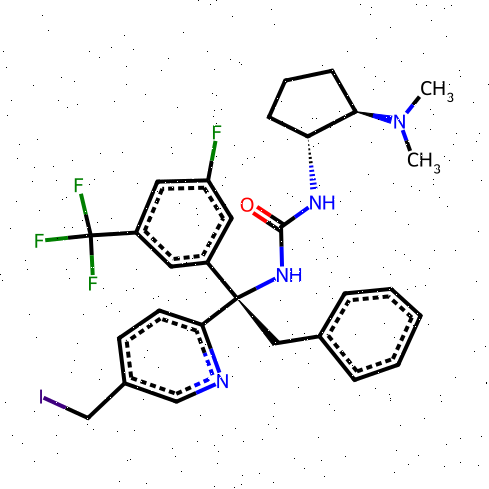 CN(C)[C@@H]1CCC[C@H]1NC(=O)N[C@@](Cc1ccccc1)(c1cc(F)cc(C(F)(F)F)c1)c1ccc(CI)cn1